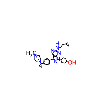 CN1CCN(C2(c3ccc(-c4nn(C5CCC(O)CC5)c5nc(NCCC6CC6)ncc45)cc3)CC2)CC1